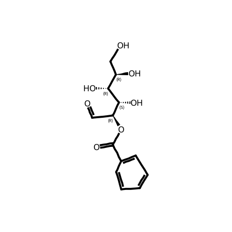 O=C[C@H](OC(=O)c1ccccc1)[C@@H](O)[C@H](O)[C@H](O)CO